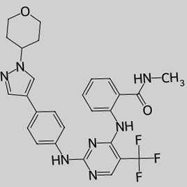 CNC(=O)c1ccccc1Nc1nc(Nc2ccc(-c3cnn(C4CCOCC4)c3)cc2)ncc1C(F)(F)F